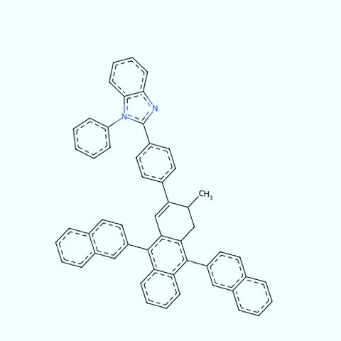 CC1Cc2c(c(-c3ccc4ccccc4c3)c3ccccc3c2-c2ccc3ccccc3c2)C=C1c1ccc(-c2nc3ccccc3n2-c2ccccc2)cc1